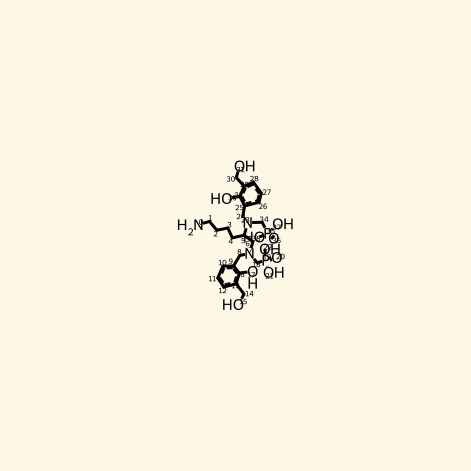 NCCCCC(CN(Cc1cccc(CO)c1O)CP(=O)(O)O)N(Cc1cccc(CO)c1O)CP(=O)(O)O